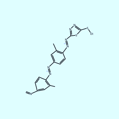 C=Nc1ccc(/N=N/c2ccc(/N=N/c3nnc(SCC)s3)c(C)c2)c(C)c1